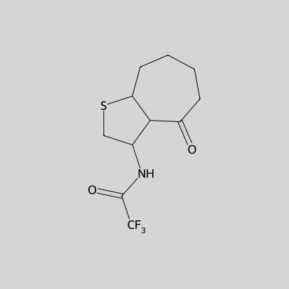 O=C1CCCCC2SCC(NC(=O)C(F)(F)F)C12